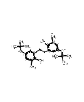 Cc1cc(OC(C)(C)C)cc(CCc2cc(OC(C)(C)C)cc(C)c2O)c1O